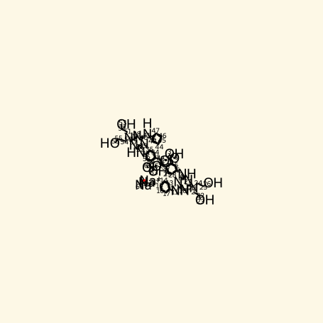 O=S(=O)(O)c1cc(Nc2nc(Nc3ccccc3)nc(N(CCO)CCO)n2)ccc1C=Cc1ccc(Nc2nc(Nc3ccccc3)nc(N(CCO)CCO)n2)cc1S(=O)(=O)O.[Na+].[Na+].[Na+]